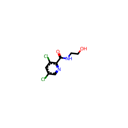 O=C(NCCO)c1ncc(Cl)cc1Cl